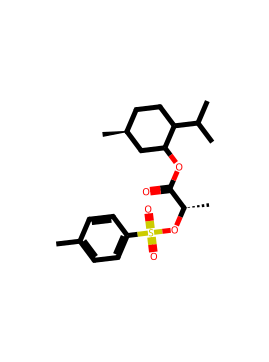 Cc1ccc(S(=O)(=O)O[C@@H](C)C(=O)OC2C[C@@H](C)CCC2C(C)C)cc1